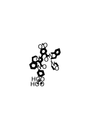 O=C(c1cc(-c2cc3c(cc2C(=O)N2Cc4ccccc4C[C@@H]2CN2CCOCC2)OCO3)n2c1CCCC2)N(c1ccccc1)c1ccc(OP(=O)(O)O)cc1